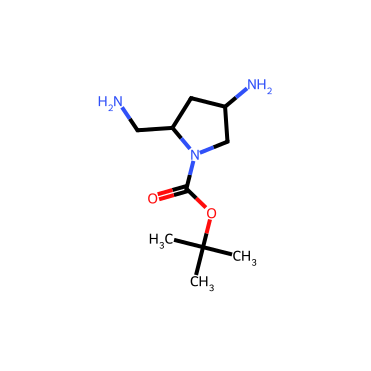 CC(C)(C)OC(=O)N1CC(N)CC1CN